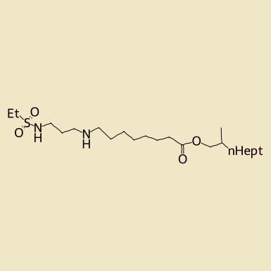 CCCCCCCC(C)COC(=O)CCCCCCCNCCCNS(=O)(=O)CC